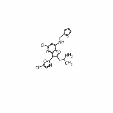 C[C@H](N)Cc1oc2c(NCc3cccs3)cc(Cl)nc2c1-c1ncc(Cl)o1